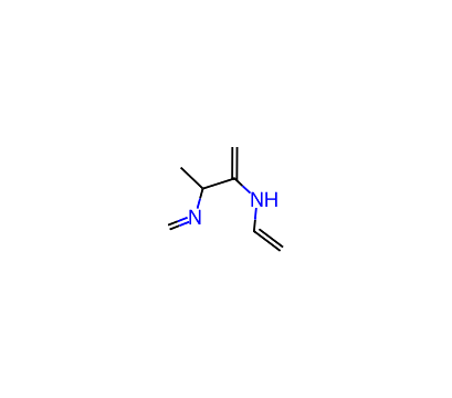 C=CNC(=C)C(C)N=C